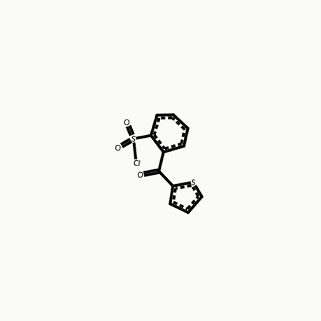 O=C(c1cccs1)c1ccccc1S(=O)(=O)Cl